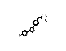 CC(C)Cc1ccc(C2=NC=C(c3ccc(F)cc3)C2)cc1